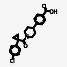 O=C(O)c1ccc(C2CCN(C(=O)C3(c4ccc(Cl)cc4)CC3)CC2)cc1